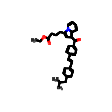 CCOC(=O)CCCc1cc(C(=O)c2ccc(/C=C/c3ccc(CC(C)C)cc3)cc2)c2ccccn12